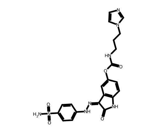 NS(=O)(=O)c1ccc(NN=C2C(=O)Nc3ccc(OC(=O)NCCCn4ccnc4)cc32)cc1